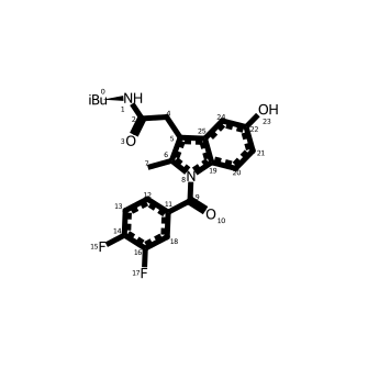 CC[C@H](C)NC(=O)Cc1c(C)n(C(=O)c2ccc(F)c(F)c2)c2ccc(O)cc12